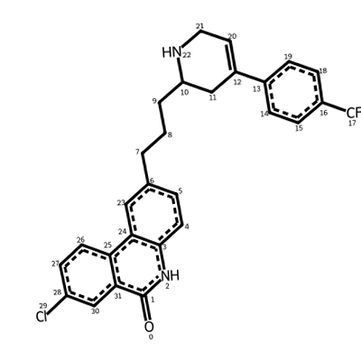 O=c1[nH]c2ccc(CCCC3CC(c4ccc(C(F)(F)F)cc4)=CCN3)cc2c2ccc(Cl)cc12